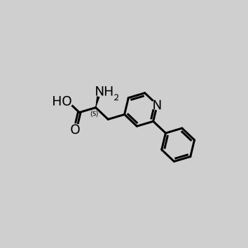 N[C@@H](Cc1ccnc(-c2ccccc2)c1)C(=O)O